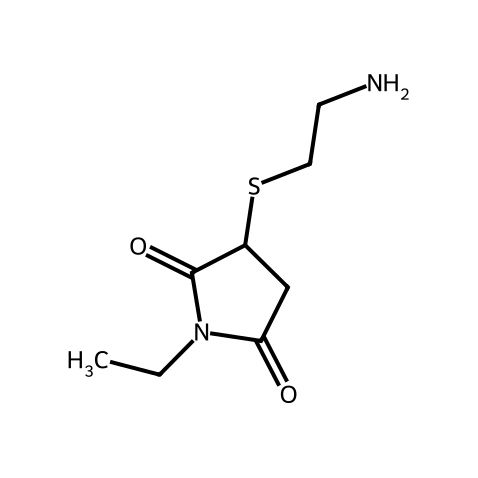 CCN1C(=O)CC(SCCN)C1=O